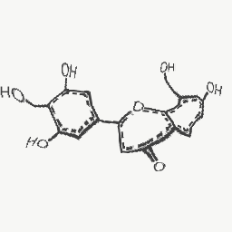 O=c1cc(-c2cc(O)c(O)c(O)c2)oc2c(O)c(O)ccc12